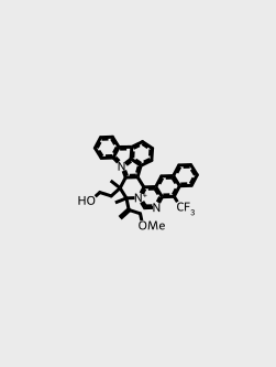 C=C(COC)C1(C)[n+]2cnc3c(C(F)(F)F)c4ccccc4cc3c2-c2c(n3c4ccccc4c4cccc2c43)C1(C)CCO